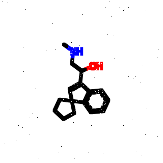 CNCC(O)C1=CC2(CCCC2)c2ccccc21